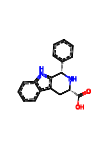 O=C(O)[C@@H]1Cc2c([nH]c3ccccc23)[C@H](c2ccccc2)N1